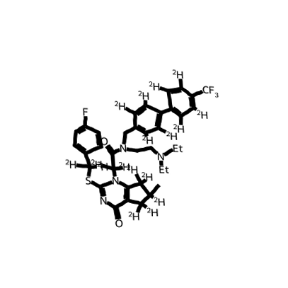 [2H]c1c([2H])c(-c2c([2H])c([2H])c(C(F)(F)F)c([2H])c2[2H])c([2H])c([2H])c1CN(CCN(CC)CC)C(=O)C([2H])([2H])n1c(SC([2H])([2H])c2ccc(F)cc2)nc(=O)c2c1C([2H])([2H])C([2H])(C)C2([2H])[2H]